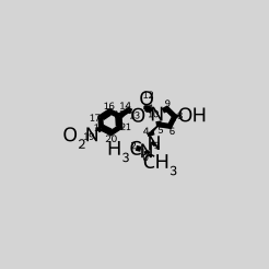 CN(C)N=C[C@@H]1C[C@@H](O)CN1C(=O)OCc1ccc([N+](=O)[O-])cc1